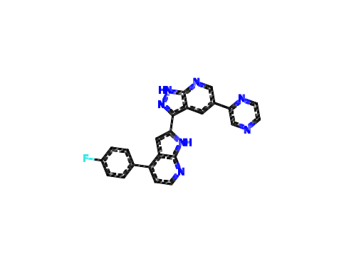 Fc1ccc(-c2ccnc3[nH]c(-c4n[nH]c5ncc(-c6cnccn6)cc45)cc23)cc1